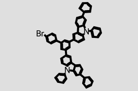 Brc1ccc(-c2cc(-c3ccc4c(c3)c3ccc(-c5ccccc5)cc3n4-c3ccccc3)cc(-c3ccc4c(c3)c3ccc(-c5ccccc5)cc3n4-c3ccccc3)c2)cc1